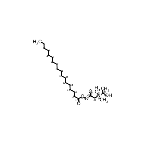 CCCCCCCCCCCCCCCCCC(=O)OOC(=O)C[N+](C)(C)C(C)O